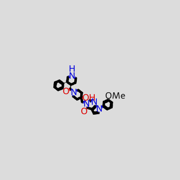 COc1cccc(-n2ccc3c(=O)n(CC4(O)CCN(C(=O)[C@@H]5CCNC[C@H]5c5ccccc5)CC4)cnc32)c1